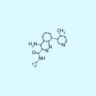 Cc1ccncc1-c1cccc2c(N)c(C(=O)NC3CC3)nnc12